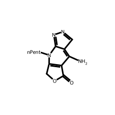 CCCCCn1c2nncc-2c(N)c2c1COC2=O